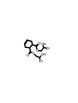 CCC(O)COC(=O)C1CC=CCC1C(=O)OCC(O)CC